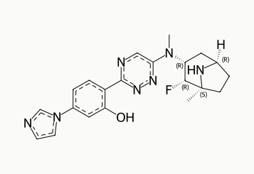 CN(c1cnc(-c2ccc(-n3ccnc3)cc2O)nn1)[C@@H]1C[C@H]2CC[C@](C)(N2)[C@@H]1F